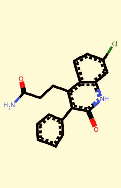 NC(=O)CCc1c(-c2ccccc2)c(=O)[nH]c2cc(Cl)ccc12